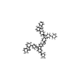 c1ccc(-c2ccc3c(c2)c2cc(Oc4ccc5c(c4)c4cc(-c6ccccc6)ccc4n5-c4ccc(-c5cccc6c5sc5ccccc56)cc4)ccc2n3-c2ccc(-c3cccc4c3oc3ccccc34)cc2)cc1